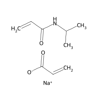 C=CC(=O)NC(C)C.C=CC(=O)[O-].[Na+]